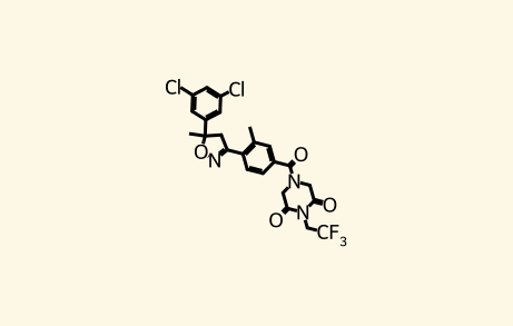 Cc1cc(C(=O)N2CC(=O)N(CC(F)(F)F)C(=O)C2)ccc1C1=NOC(C)(c2cc(Cl)cc(Cl)c2)C1